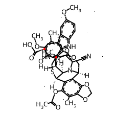 COc1ccc2[nH]c3c(c2c1)C[C@H](C(=O)O)N[C@]31CS[C@@H]2c3c(OC(C)=O)c(C)c4c(c3[C@H](COC1=O)N1[C@@H]2[C@@H]2c3c(cc(C)c(OC)c3O)CC1(C#N)CN2C)OCO4